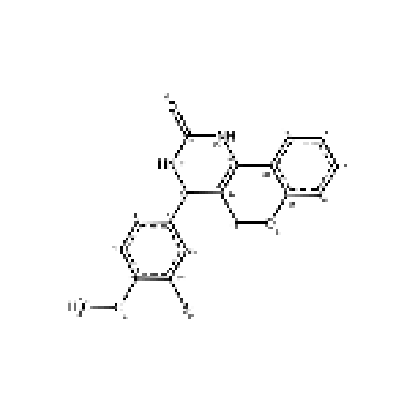 COc1ccc(C2NC(=O)NC3=C2COc2ccccc23)cc1Br